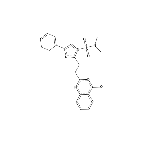 CN(C)S(=O)(=O)n1cc(C2=CC=CCC2)nc1CCc1nc2ccccc2c(=O)o1